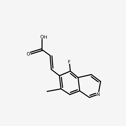 Cc1cc2cnccc2c(F)c1C=CC(=O)O